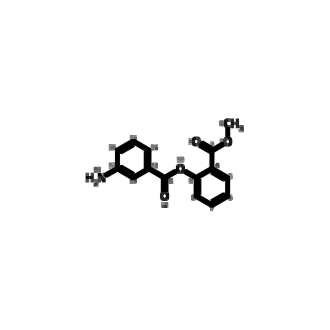 COC(=O)c1ccccc1OC(=O)c1cccc(N)c1